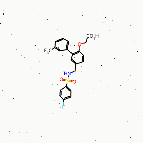 O=C(O)COc1ccc(CNS(=O)(=O)c2ccc(F)cc2)cc1-c1cccc(C(F)(F)F)c1